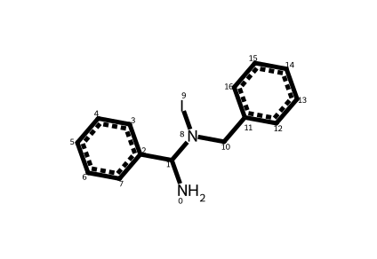 NC(c1ccccc1)N(I)Cc1ccccc1